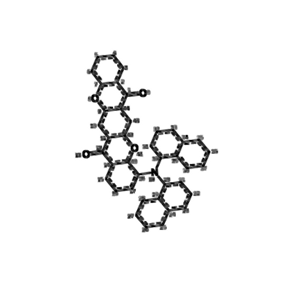 O=c1c2ccccc2oc2cc3c(=O)c4cccc(N(c5cccc6ccccc56)c5cccc6ccccc56)c4oc3cc12